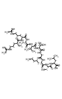 CC(C)C[C@H](NC(=O)[C@H](CS)NC(=O)[C@H](CCCCN)NC(=O)CNC(=O)[C@@H](NC(=O)[C@@H](NC(=O)[C@H](C)NC(=O)[C@H](CCCNC(=N)N)NC(=O)[C@@H](N)CCCNC(=N)N)C(C)C)[C@@H](C)O)C(=O)O